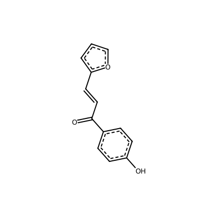 O=C(/C=C/c1ccco1)c1ccc(O)cc1